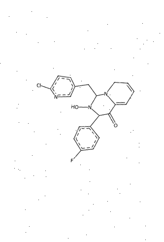 O=C1C2=CC=CCN2C(Cc2ccc(Cl)nc2)N(O)C1c1ccc(F)cc1